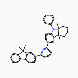 CC1(C)c2ccccc2-c2ccc(-c3cccc(-c4ccc5c(c4)C4(C)CCCCC4(C)N5c4ccccc4)n3)cc21